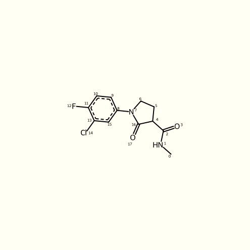 CNC(=O)C1CCN(c2ccc(F)c(Cl)c2)C1=O